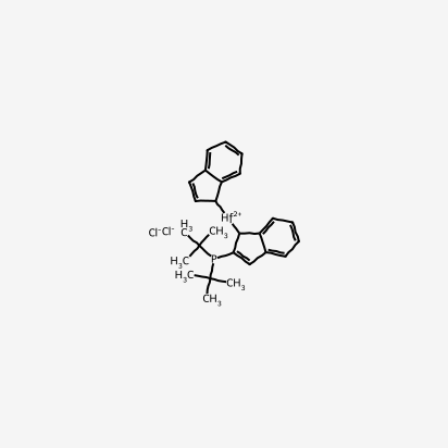 CC(C)(C)P(C1=Cc2ccccc2[CH]1[Hf+2][CH]1C=Cc2ccccc21)C(C)(C)C.[Cl-].[Cl-]